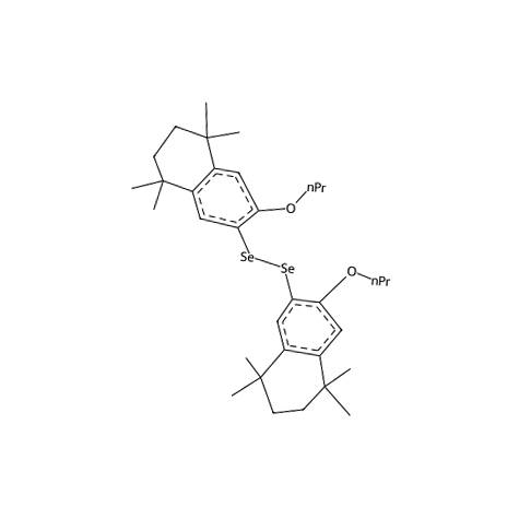 CCCOc1cc2c(cc1[Se][Se]c1cc3c(cc1OCCC)C(C)(C)CCC3(C)C)C(C)(C)CCC2(C)C